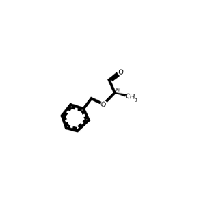 C[C@H](C=O)OCc1ccccc1